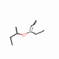 CCC(C)O[SiH](CC)CC